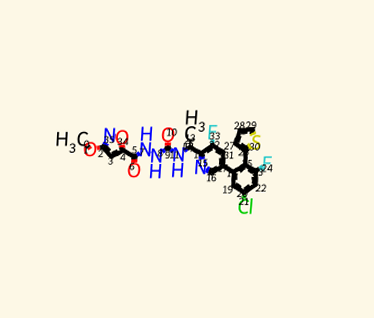 COc1cc(C(=O)NNC(=O)N[C@H](C)c2ncc(-c3cc(Cl)cc(F)c3-c3cccs3)cc2F)on1